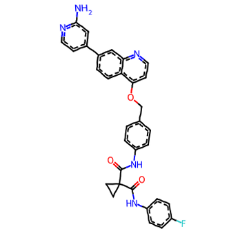 Nc1cc(-c2ccc3c(OCc4ccc(NC(=O)C5(C(=O)Nc6ccc(F)cc6)CC5)cc4)ccnc3c2)ccn1